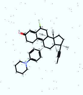 CC#C[C@]1(C(C)=O)CC[C@H]2[C@@H]3CC(F)C4=CC(=O)CCC4=C3[C@@H](c3ccc(N4CCCCC4)cc3)C[C@@]21C